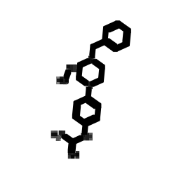 N=C(N)Nc1ccc(N2CCN(Cc3ccccc3)CC2)cc1.O=[N+]([O-])O